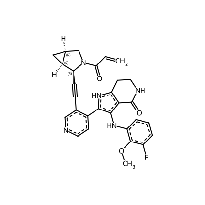 C=CC(=O)N1C[C@@H]2C[C@@H]2[C@@H]1C#Cc1cnccc1-c1[nH]c2c(c1Nc1cccc(F)c1OC)C(=O)NCC2